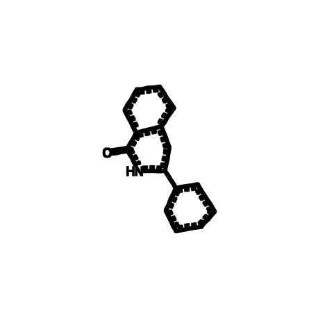 O=c1[nH]c(-c2ccccc2)cc2ccccc12